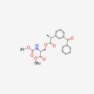 CC(C)OC(=O)N[C@@H](COC(=O)[C@@H](C)c1cccc(C(=O)c2ccccc2)c1)C(=O)OC(C)(C)C